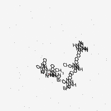 Brc1ccc(Nc2nc3cc4ccccc4cc3nc2Nc2ccc(Br)cc2)cc1.Cc1c2ccccc2cc2nc(Nc3cccnc3)c(Nc3cccnc3)nc12.Clc1ccc(Nc2nc3cc4ccccc4cc3nc2Nc2ccc(Cl)cc2)cc1.c1ccc(Nc2nc3cc4ccccc4cc3nc2Nc2ccccc2)cc1.c1ccc2cc3nc(Nn4cnnc4)c(Nn4cnnc4)nc3cc2c1